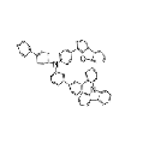 c1ccc(-c2ccc(N(c3ccc(-c4cccc5c4oc4ccccc45)cc3)c3cccc(-c4cccc(-c5ccccc5-n5c6ccccc6c6ccccc65)c4)c3)cc2)cc1